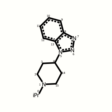 CC(C)N1CCC(n2nnc3ccccc32)CC1